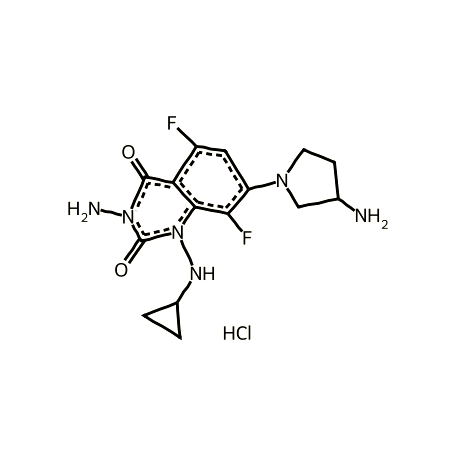 Cl.NC1CCN(c2cc(F)c3c(=O)n(N)c(=O)n(NC4CC4)c3c2F)C1